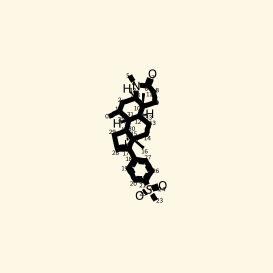 CC1C[C@H]2N(C)C(=O)CC[C@]2(C)[C@H]2CC[C@]3(C)C(c4ccc(S(C)(=O)=O)cc4)=CC[C@H]3[C@H]12